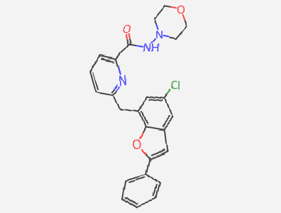 O=C(NN1CCOCC1)c1cccc(Cc2cc(Cl)cc3cc(-c4ccccc4)oc23)n1